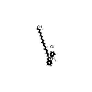 CCCCCCCCCCCCCCCCCC[N+](C)(Cc1ccccc1)c1ccccc1.[Cl-]